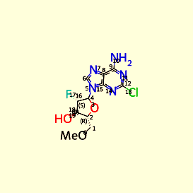 COC[C@H]1OC(n2cnc3c(N)nc(Cl)nc32)[C@@H](F)[C@@H]1O